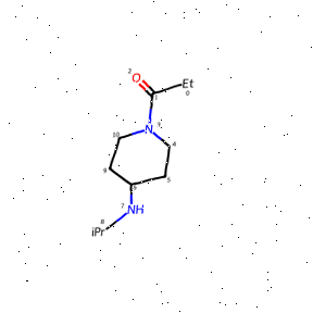 CCC(=O)N1CCC(NC(C)C)CC1